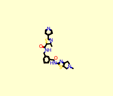 CC1N=C(c2ccncc2)SC1C(=O)NCc1cccc(C(=O)Nc2nc3c(s2)CN(C)CC3)c1